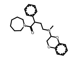 CN(CCC(C(=O)N1CCCCCC1)c1ccccc1)C1COc2ccccc2O1